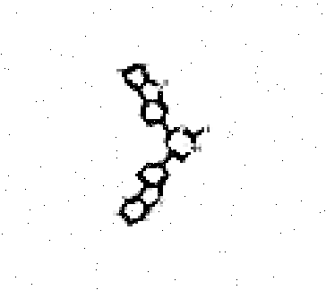 ClC1=NC(c2ccc3c(c2)sc2ccccc23)=NC(c2ccc3c(c2)oc2ccccc23)=CN1